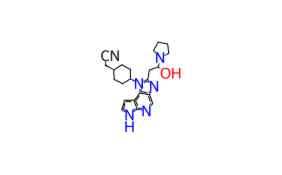 N#CC[C@H]1CC[C@@H](n2c(CC(O)N3CCCC3)nc3cnc4[nH]ccc4c32)CC1